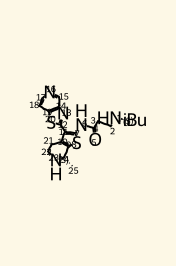 CC[C@H](C)NCCC(=O)Nc1sc2c(c1-c1nc3cnccc3s1)CCN[C@H]2C